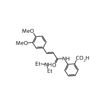 CCNCC.COc1ccc(/C=C/C(=O)Nc2ccccc2C(=O)O)cc1OC